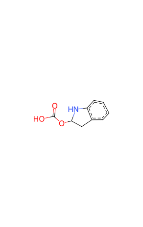 O=C(O)OC1Cc2ccccc2N1